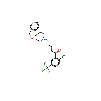 O=C(CCCCN1CCC2(CC1)OCc1ccccc12)c1cc(C(F)(F)F)ccc1Cl